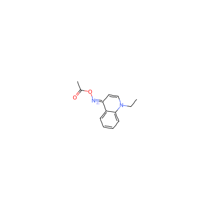 CCn1cc/c(=N\OC(C)=O)c2ccccc21